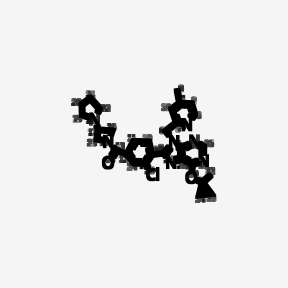 Cc1ccnc(Cn2c(-c3ccc(C(=O)N4CC(N5CCCC5)C4)cc3Cl)nc3c(OC4(C)CC4)ncnc32)c1